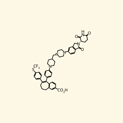 O=C1CC[C@H](N2Cc3cc(N4CCN(CC5CCN(c6ccc(C7=C(c8ccc(SC(F)(F)F)cc8)CCCc8cc(C(=O)O)ccc87)cc6)CC5)CC4)ccc3C2=O)C(=O)N1